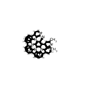 Cc1cc(-c2c(C#N)c(-n3c4ccccc4c4ccncc43)c(-n3c4ccccc4c4ccncc43)c(-n3c4ccccc4c4ccncc43)c2-n2c3ccccc3c3ccncc32)cc(C)n1